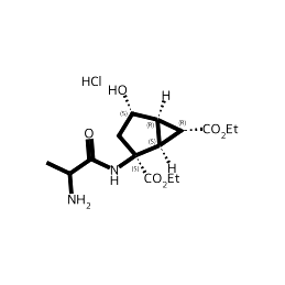 CCOC(=O)[C@H]1[C@H]2[C@@H]1[C@](NC(=O)C(C)N)(C(=O)OCC)C[C@@H]2O.Cl